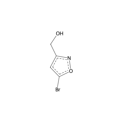 OCc1cc(Br)on1